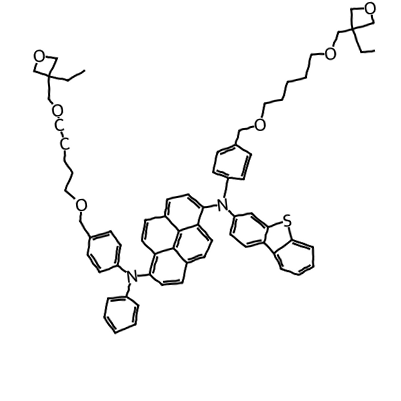 CCC1(COCCCCCOCc2ccc(N(c3ccccc3)c3ccc4ccc5c(N(c6ccc(COCCCCCOCC7(CC)COC7)cc6)c6ccc7c(c6)sc6ccccc67)ccc6ccc3c4c65)cc2)COC1